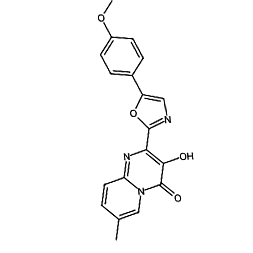 COc1ccc(-c2cnc(-c3nc4ccc(C)cn4c(=O)c3O)o2)cc1